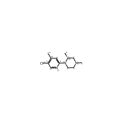 C[C@H]1CN(C)CCN1c1cc(I)c(Cl)cn1